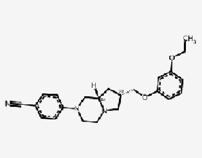 CCOc1cccc(OC[C@H]2C[C@H]3CN(c4ccc(C#N)cc4)CCN3C2)c1